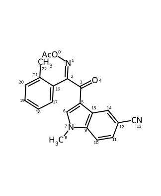 CC(=O)O/N=C(/C(=O)c1cn(C)c2ccc(C#N)cc12)c1ccccc1C